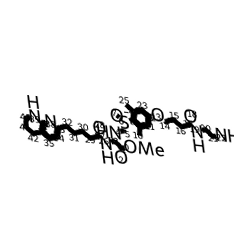 COC(=O)C(NC[S+]([O-])c1c(C)cc(OCCCC(=O)NCCN)cc1C)NC(=O)CCCCc1ccc2c(n1)NCCC2